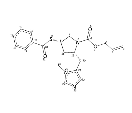 C=CCOC(=O)N1C[C@@H](SC(=O)c2ccccc2)C[C@H]1Cc1cncn1C